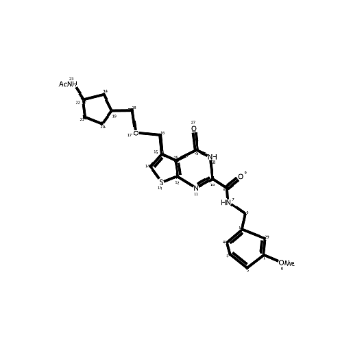 COc1cccc(CNC(=O)c2nc3scc(COCC4CCC(NC(C)=O)C4)c3c(=O)[nH]2)c1